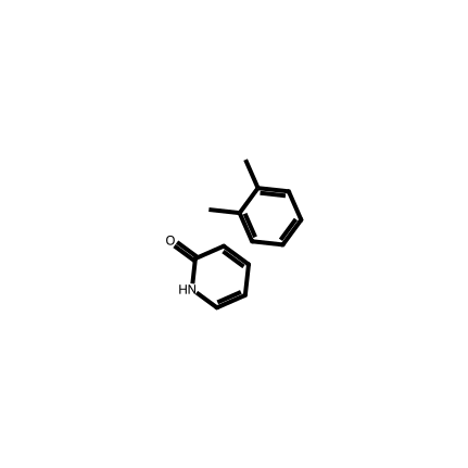 Cc1ccccc1C.O=c1cccc[nH]1